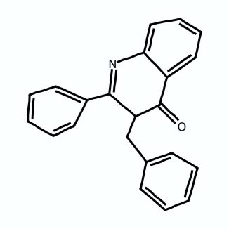 O=C1c2ccccc2N=C(c2ccccc2)C1Cc1ccccc1